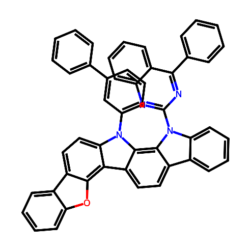 c1ccc(-c2cccc(-n3c4ccc5c6ccccc6oc5c4c4ccc5c6ccccc6n(-c6nc(-c7ccccc7)c7ccccc7n6)c5c43)c2)cc1